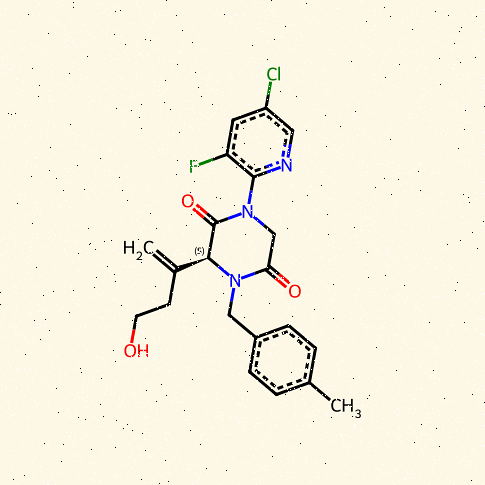 C=C(CCO)[C@H]1C(=O)N(c2ncc(Cl)cc2F)CC(=O)N1Cc1ccc(C)cc1